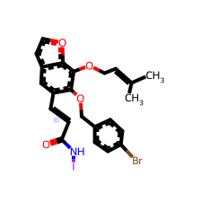 CC(C)=CCOc1c(OCc2ccc(Br)cc2)c(/C=C/C(=O)NI)cc2ccoc12